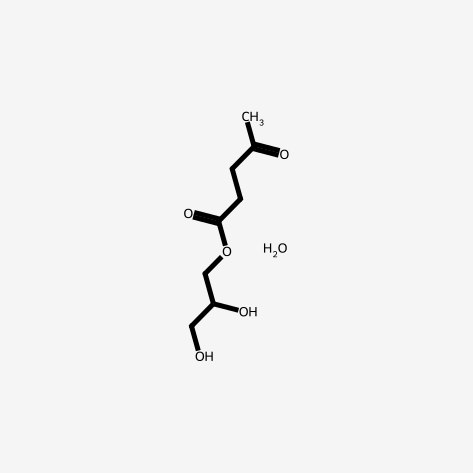 CC(=O)CCC(=O)OCC(O)CO.O